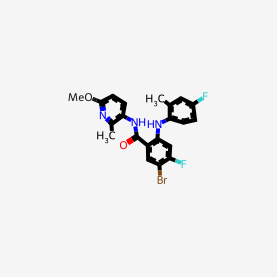 COc1ccc(NC(=O)c2cc(Br)c(F)cc2Nc2ccc(F)cc2C)c(C)n1